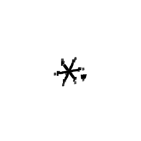 FS(F)(F)(F)(F)F.[W]